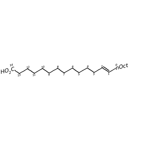 CCCCCCCCC=CCCCCCCCCCCCC(=O)O